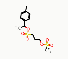 Cc1ccc(C(OS(=O)(=O)CCCOS(=O)(=O)C(F)(F)F)C(F)(F)F)cc1